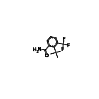 CC(C)(C)c1c(C(N)=O)cccc1C(F)(F)F